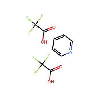 O=C(O)C(F)(F)F.O=C(O)C(F)(F)F.c1ccncc1